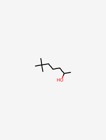 CC(O)CCCC(C)(C)C